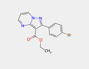 CCOC(=O)c1c(-c2ccc(Br)cc2)nn2cccnc12